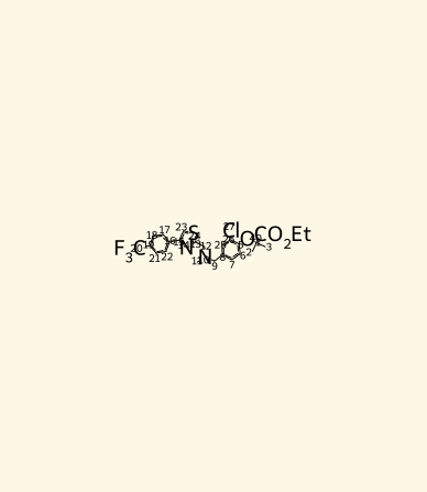 CCOC(=O)C(C)(C)Oc1ccc(CN(C)Cc2nc(-c3ccc(C(F)(F)F)cc3)cs2)cc1Cl